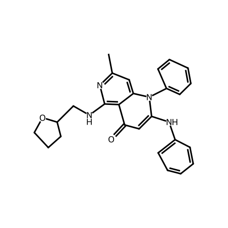 Cc1cc2c(c(NCC3CCCO3)n1)c(=O)cc(Nc1ccccc1)n2-c1ccccc1